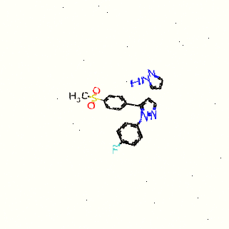 CS(=O)(=O)c1ccc(-c2ccnn2-c2ccc(F)cc2)cc1.c1cn[nH]c1